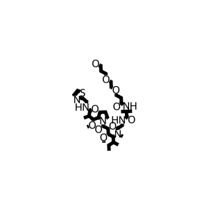 CCC(C)C(C(CC(=O)N1CCCC1C(OC)C(C)C(=O)NCc1nccs1)OC)N(C)C(=O)CNC(=O)C(C)(C)NC(=O)CCOCCOCCC=O